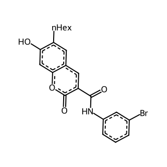 CCCCCCc1cc2cc(C(=O)Nc3cccc(Br)c3)c(=O)oc2cc1O